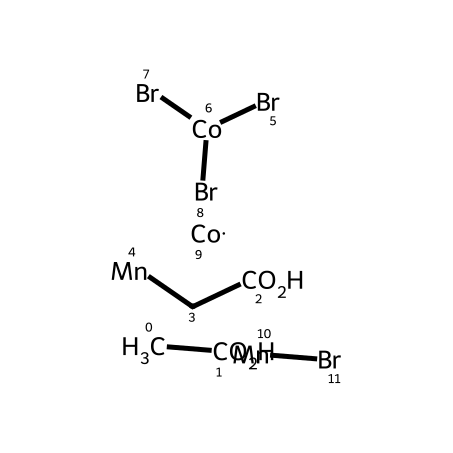 CC(=O)O.O=C(O)[CH2][Mn].[Br][Co]([Br])[Br].[Co].[Mn][Br]